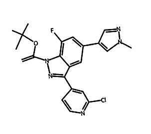 C=C(OC(C)(C)C)n1nc(-c2ccnc(Cl)c2)c2cc(-c3cnn(C)c3)cc(F)c21